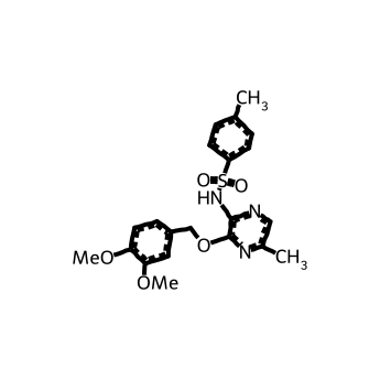 COc1ccc(COc2nc(C)cnc2NS(=O)(=O)c2ccc(C)cc2)cc1OC